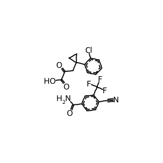 N#Cc1ccc(C(N)=O)cc1C(F)(F)F.O=C(O)C(=O)CC1(c2ccccc2Cl)CC1